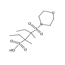 CCC(C)(C(C)(CC)S(=O)(=O)N1CCOCC1)S(=O)(=O)O